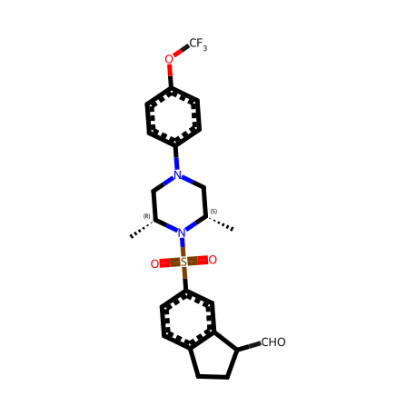 C[C@@H]1CN(c2ccc(OC(F)(F)F)cc2)C[C@H](C)N1S(=O)(=O)c1ccc2c(c1)C(C=O)CC2